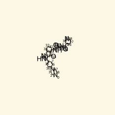 CN1CCN(c2ccc(-c3[nH]nc4c3C(=O)c3c(NC(=O)NNC(=O)c5cccnc5)cccc3-4)cc2)CC1